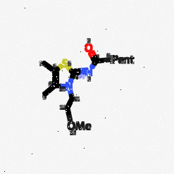 CCCC(C)C(=O)/N=c1\sc(C)c(C)n1CCOC